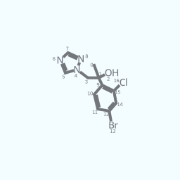 CC(O)(Cn1cncn1)c1ccc(Br)cc1Cl